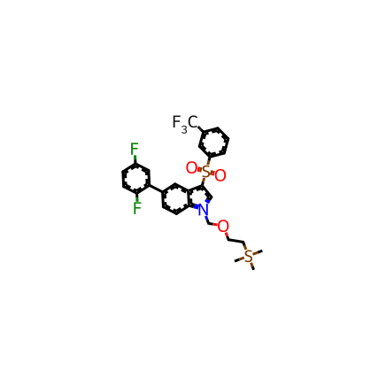 CS(C)(C)CCOCn1cc(S(=O)(=O)c2cccc(C(F)(F)F)c2)c2cc(-c3cc(F)ccc3F)ccc21